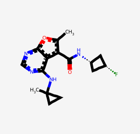 Cc1oc2ncnc(NC3(C)CC3)c2c1C(=O)N[C@H]1C[C@@H](F)C1